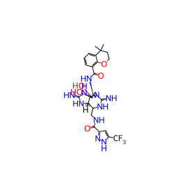 CC1(C)CCOc2c(C(=O)N[C@H]3CN4C(=N)NC(CNC(=O)c5cc(C(F)(F)F)[nH]n5)[C@@H]5NC(=N)NC54C3(O)O)cccc21